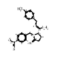 NC(=NCc1ccc(N)cc1)[C@@H]1CCC(=O)N1Cc1ccc([N+](=O)[O-])cc1